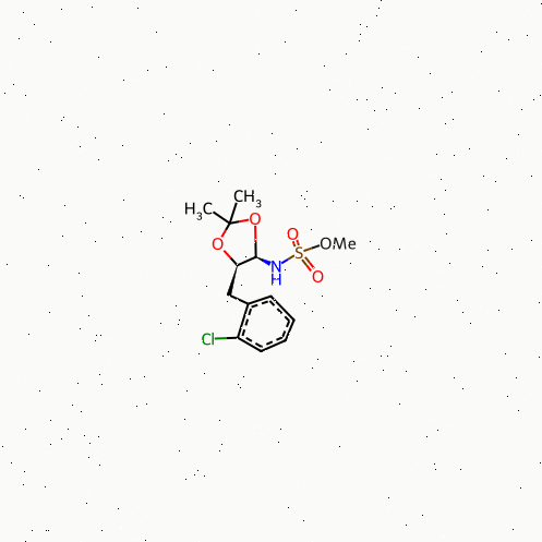 COS(=O)(=O)N[C@@H]1OC(C)(C)O[C@@H]1Cc1ccccc1Cl